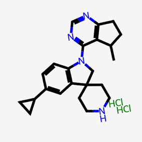 CC1CCc2ncnc(N3CC4(CCNCC4)c4cc(C5CC5)ccc43)c21.Cl.Cl